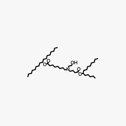 CCCCCCCCC(CCCCCCCC)OC(=O)CCCCCCCN(CCO)CCCC(=O)OC(CCCCC)CCCCCCCC